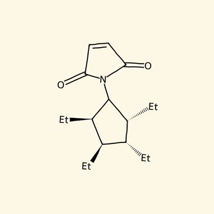 CC[C@@H]1[C@@H](CC)[C@@H](CC)C(N2C(=O)C=CC2=O)[C@@H]1CC